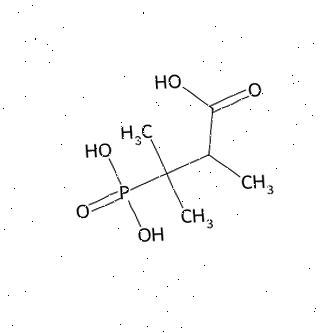 CC(C(=O)O)C(C)(C)P(=O)(O)O